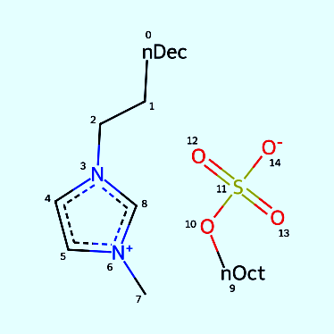 CCCCCCCCCCCCn1cc[n+](C)c1.CCCCCCCCOS(=O)(=O)[O-]